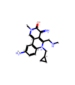 CNCc1c2c(=N)c(=O)n(C)cc-2c2cc(N)ccc2n1CC1CC1